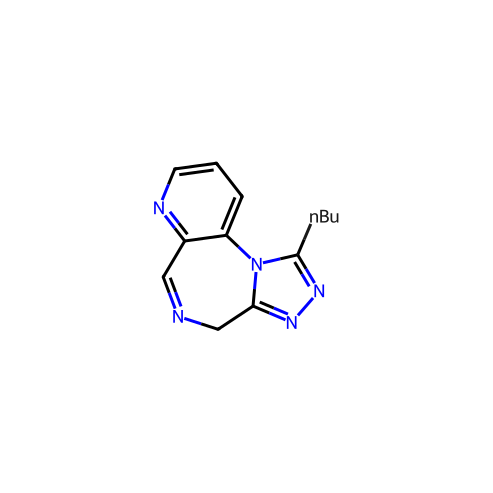 CCCCc1nnc2n1-c1cccnc1C=NC2